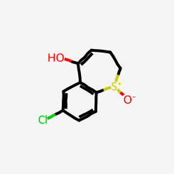 [O-][S+]1CCC=C(O)c2cc(Cl)ccc21